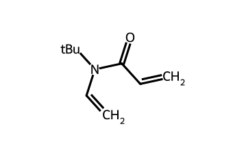 C=CC(=O)N(C=C)C(C)(C)C